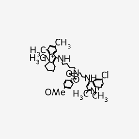 COc1ccc(S(=O)(=O)N(CCCCNc2c3c([n+](C)c4c(C)cc(C)cc24)CCCC3)CCNc2cc(C)[n+](C)c3ccc(Cl)cc23)cc1